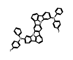 Fc1ccc(N(c2ccccc2)c2ccc3c4cccc5c6cc7c(cc6n(c3c2)c45)c2cccc3c4ccc(N(c5ccccc5)c5ccc(F)cc5)cc4n7c32)cc1